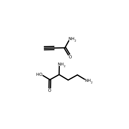 C#CC(N)=O.NCCC(N)C(=O)O